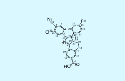 N#Cc1ccc(N2N=C3c4ccc(C(=O)O)cc4CC[C@@H]3[C@@H]2c2ccc(F)cc2)cc1Cl